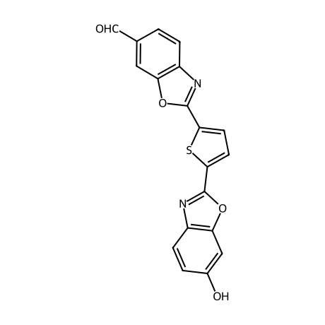 O=Cc1ccc2nc(-c3ccc(-c4nc5ccc(O)cc5o4)s3)oc2c1